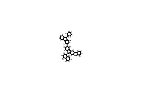 c1ccc(C2c3ccccc3-c3cc(-c4ccc5c(c4)c4cc6c(cc4n5-c4cccc5ccccc45)Cc4ccccc4-6)ccc32)cc1